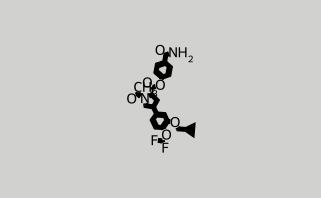 CC(=O)N1CC(c2ccc(OC(F)F)c(OCC3CC3)c2)C[C@@H]1C(=O)Oc1ccc(C(N)=O)cc1